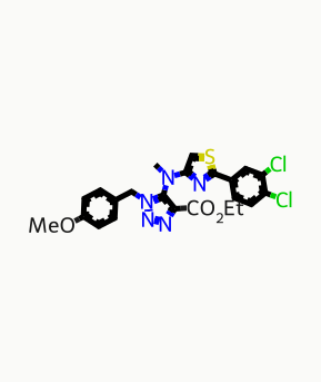 CCOC(=O)c1nnn(Cc2ccc(OC)cc2)c1N(C)c1csc(-c2ccc(Cl)c(Cl)c2)n1